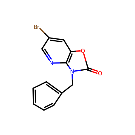 O=c1oc2cc(Br)cnc2n1Cc1ccccc1